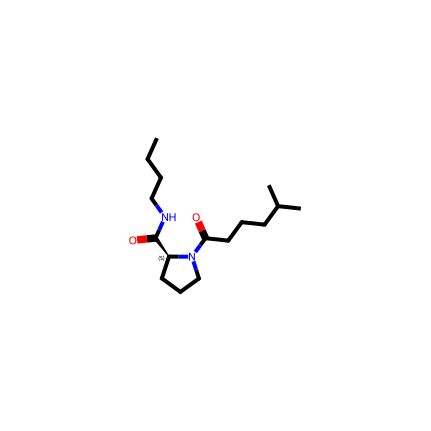 CCCCNC(=O)[C@@H]1CCCN1C(=O)CCCC(C)C